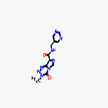 Cn1nnc2c(C(=O)NCc3cncnc3)ncn2c1=O